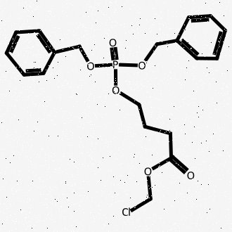 O=C(CCCOP(=O)(OCc1ccccc1)OCc1ccccc1)OCCl